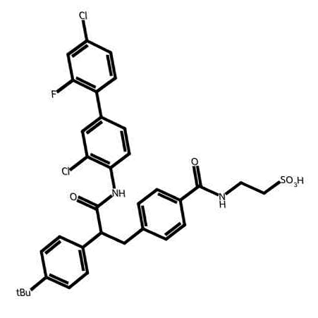 CC(C)(C)c1ccc(C(Cc2ccc(C(=O)NCCS(=O)(=O)O)cc2)C(=O)Nc2ccc(-c3ccc(Cl)cc3F)cc2Cl)cc1